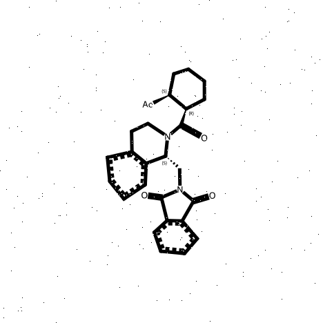 CC(=O)[C@H]1CCCC[C@H]1C(=O)N1CCc2ccccc2[C@H]1CN1C(=O)c2ccccc2C1=O